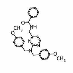 COc1ccc(CN(Cc2ccc(OC)cc2)c2nccc(CNC(=O)c3ccccc3)n2)cc1